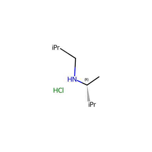 CC(C)CN[C@H](C)C(C)C.Cl